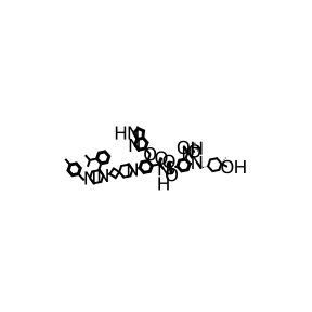 Cc1ccc(CN2CCN(C3CC4(CCN(c5ccc(C(=O)NS(=O)(=O)c6ccc(NC[C@H]7CC[C@](C)(O)CC7)c([N+](=O)[O-])c6)c(Oc6cnc7[nH]ccc7c6)c5)CC4)C3)C(c3ccccc3C(C)C)C2)cc1